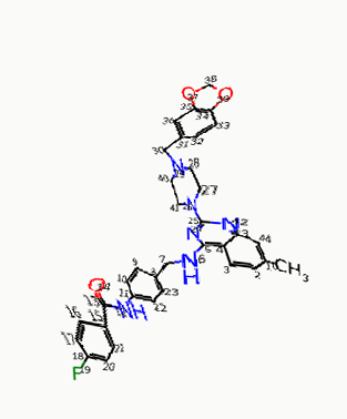 Cc1ccc2c(NCc3ccc(NC(=O)c4ccc(F)cc4)cc3)nc(N3CCN(Cc4ccc5c(c4)OCO5)CC3)nc2c1